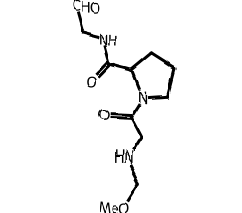 COCNCC(=O)N1CCCC1C(=O)NCC=O